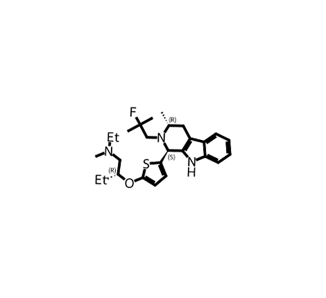 CC[C@H](CN(C)CC)Oc1ccc([C@@H]2c3[nH]c4ccccc4c3C[C@@H](C)N2CC(C)(C)F)s1